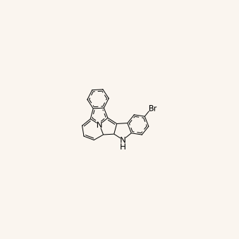 Brc1ccc2c(c1)C1=c3c4ccccc4c4n3C(C=CC=4)C1N2